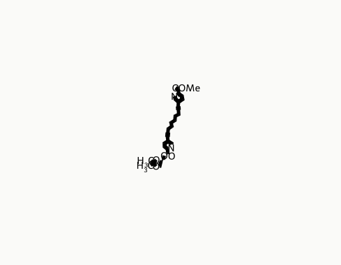 COC(=O)c1ccc(C#CCCCCCCC#Cc2ccc(C(=O)OC[C@H]3COC(C)(C)O3)nc2)cn1